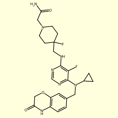 NC(=O)CN1CCC(F)(CNc2ncnc(N(Cc3ccc4c(c3)OCC(=O)N4)C3CC3)c2F)CC1